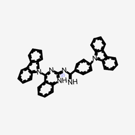 N=C(/N=c1/nc(-n2c3ccccc3c3ccccc32)c2ccccc2[nH]1)c1ccc(-n2c3ccccc3c3ccccc32)cc1